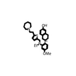 CCN(Cc1ccc(CCN2CCCCCC2)s1)c1cc(OC)ccc1[C@@H]1CCc2cc(O)ccc2C1